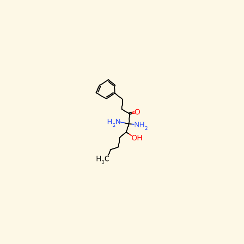 CCCCC(O)C(N)(N)C(=O)CCc1ccccc1